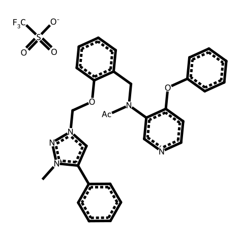 CC(=O)N(Cc1ccccc1OCn1cc(-c2ccccc2)[n+](C)n1)c1cnccc1Oc1ccccc1.O=S(=O)([O-])C(F)(F)F